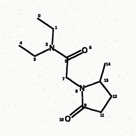 CCN(CC)C(=O)CN1C(=O)CCC1C